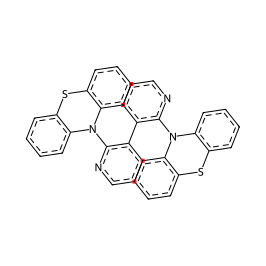 c1ccc2c(c1)Sc1ccccc1N2c1ncccc1-c1cccnc1N1c2ccccc2Sc2ccccc21